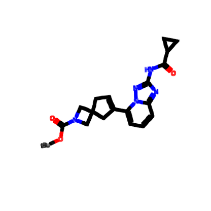 CC(C)(C)OC(=O)N1CC2(CC=C(c3cccc4nc(NC(=O)C5CC5)nn34)C2)C1